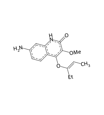 CC=C(CC)Oc1c(OC)c(=O)[nH]c2cc(N)ccc12